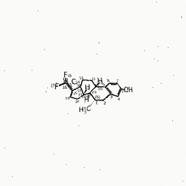 C[C@H]1Cc2cc(O)ccc2[C@H]2CC[C@]3(C)C(=C(F)F)CC[C@H]3[C@@H]21